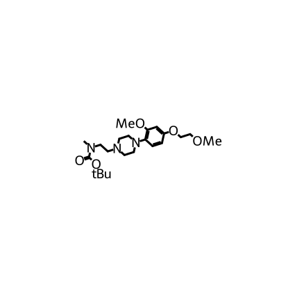 COCCOc1ccc(N2CCN(CCN(C)C(=O)OC(C)(C)C)CC2)c(OC)c1